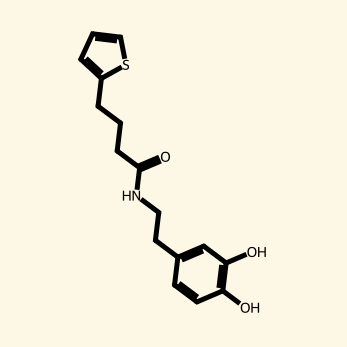 O=C(CCCc1cccs1)NCCc1ccc(O)c(O)c1